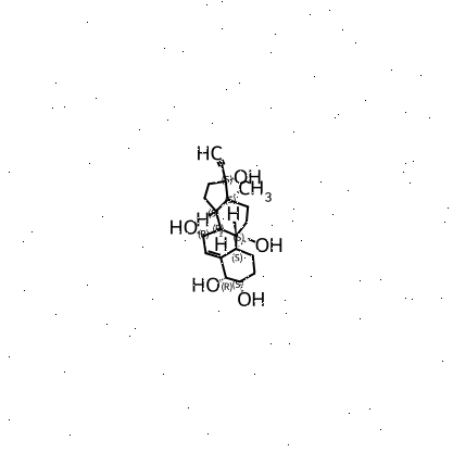 C#C[C@]1(O)CC[C@H]2[C@@H]3[C@@H](O)C=C4[C@@H](O)[C@@H](O)CC[C@]4(CO)[C@H]3CC[C@@]21C